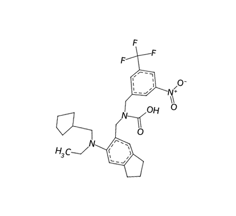 CCN(CC1CCCC1)c1cc2c(cc1CN(Cc1cc([N+](=O)[O-])cc(C(F)(F)F)c1)C(=O)O)CCC2